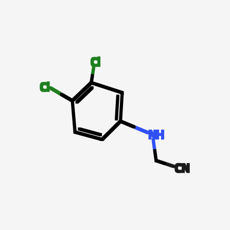 N#CCNc1ccc(Cl)c(Cl)c1